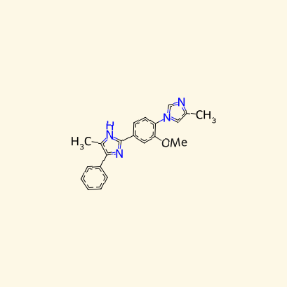 COc1cc(-c2nc(-c3ccccc3)c(C)[nH]2)ccc1-n1cnc(C)c1